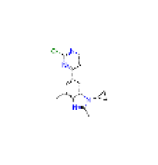 Cc1cc(-c2ccnc(Cl)n2)cc2c1nc(C)n2C1CC1